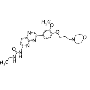 CCNC(=O)Nc1ccc2ncc(-c3ccc(OCCCN4CCOCC4)c(OC)c3)nc2n1